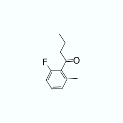 CCCC(=O)c1c(C)cccc1F